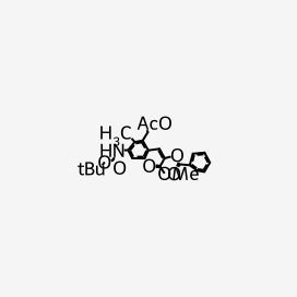 COC(=O)/C(=C\c1ccc(NC(=O)OC(C)(C)C)c(C)c1COC(C)=O)OC(=O)c1ccccc1